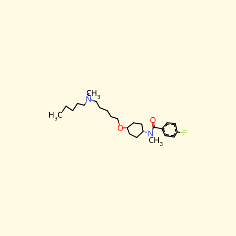 CCCCCN(C)CCCCCO[C@H]1CC[C@H](N(C)C(=O)c2ccc(F)cc2)CC1